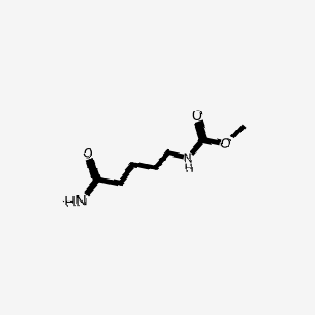 COC(=O)NCCCCC([NH])=O